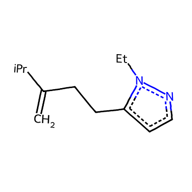 C=C(CCc1ccnn1CC)C(C)C